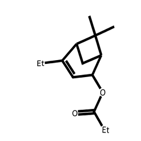 CCC(=O)OC1C=C(CC)C2CC1C2(C)C